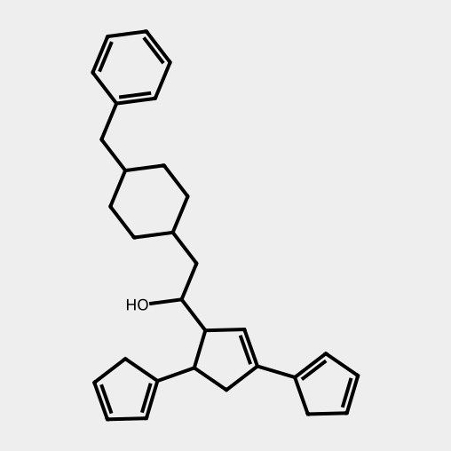 OC(CC1CCC(Cc2ccccc2)CC1)C1C=C(C2=CC=CC2)CC1C1=CC=CC1